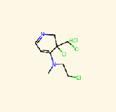 CN(CCCl)C1=CC=NCC1(Cl)CCl.Cl